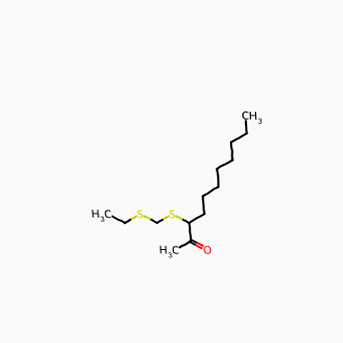 CCCCCCCCC(SCSCC)C(C)=O